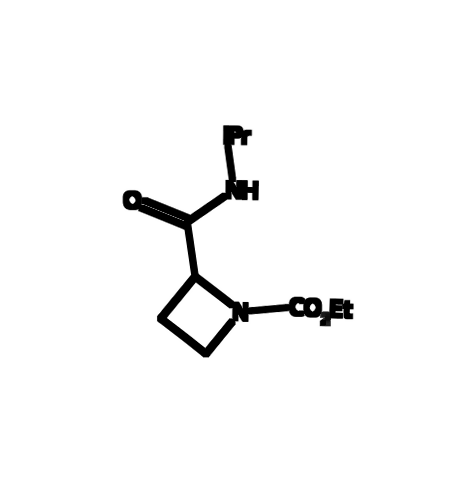 CCOC(=O)N1CCC1C(=O)NC(C)C